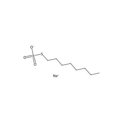 CCCCCCCCSS(=O)(=O)[O-].[Na+]